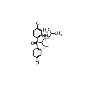 CC(C)C[C@H](N)C(O)P(=O)(c1ccc(Cl)cc1)c1ccc(Cl)cc1